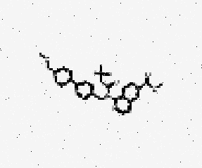 COCc1ccc(-c2ccc(CN(C(=O)CC(C)(C)C)c3nccc4cc(C(=O)OC)ccc34)cc2)cc1